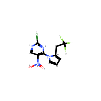 O=[N+](O)c1cnc(Cl)nc1-n1cccc1CC(F)(F)F